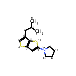 CC(C)Cc1csc2cc(N3CCCC3)sc12